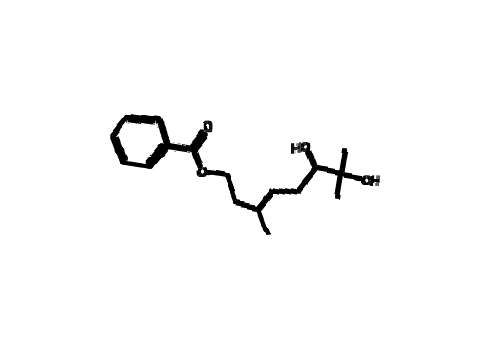 CC(CCOC(=O)c1ccccc1)CCC(O)C(C)(C)O